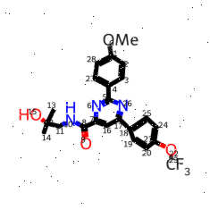 COc1ccc(-c2nc(C(=O)NCC(C)(C)O)cc(-c3ccc(OC(F)(F)F)cc3)n2)cc1